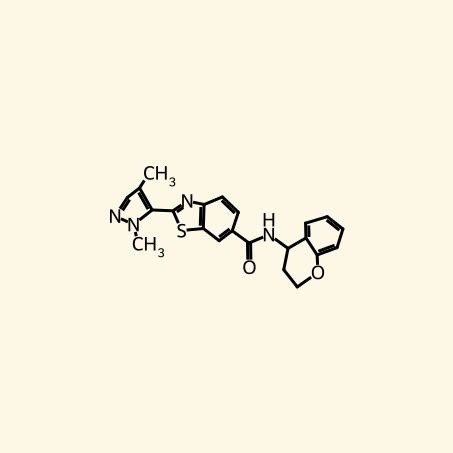 Cc1cnn(C)c1-c1nc2ccc(C(=O)NC3CCOc4ccccc43)cc2s1